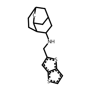 c1cc2sc(CNC3CC4CC5CCC3C(C5)C4)cc2s1